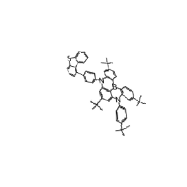 CC(C)(C)c1ccc(N2c3cc(C(C)(C)C)ccc3B3c4ccc(C(C)(C)C)cc4N(c4ccc(-c5cccc6sc7ccccc7c56)cc4)c4cc(C(C)(C)C)cc2c43)cc1